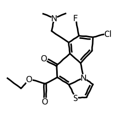 CCOC(=O)c1c(=O)c2c(CN(C)C)c(F)c(Cl)cc2n2ccsc12